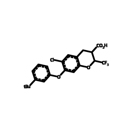 CC(C)(C)c1cccc(Oc2cc3c(cc2Cl)CC(C(=O)O)C(C(F)(F)F)O3)c1